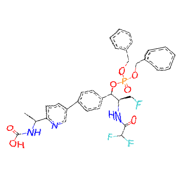 CC(NC(=O)O)c1ccc(-c2ccc([C@@H](OP(=O)(OCc3ccccc3)OCc3ccccc3)[C@@H](CF)NC(=O)C(F)F)cc2)cn1